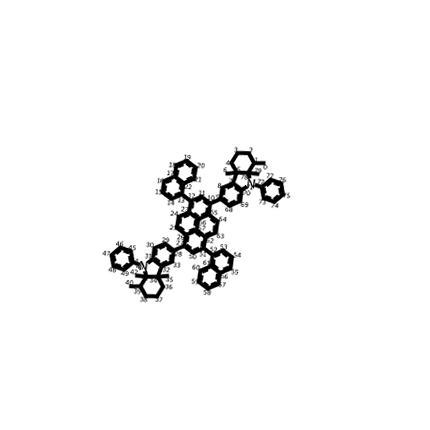 CC1CCCC2(C)c3cc(-c4cc(-c5cccc6ccccc56)c5ccc6c(-c7ccc8c(c7)C7(C)CCCC(C)C7(C)N8c7ccccc7)cc(-c7cccc8ccccc78)c7ccc4c5c67)ccc3N(c3ccccc3)C12C